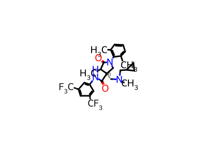 Cc1cccc(C)c1N1C[C@@](CN(C)CC2CC2)(C(=O)Nc2cc(C(F)(F)F)cc(C(F)(F)F)c2)C(C)C1=O